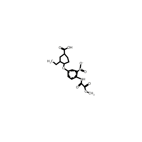 CCC1CC(C(=O)O)CCC1Oc1ccc(NC(=O)C(=O)OC)c([N+](=O)[O-])c1